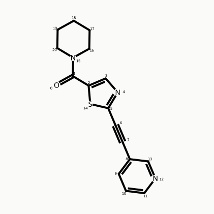 O=C(c1cnc(C#Cc2cccnc2)s1)N1CCCCC1